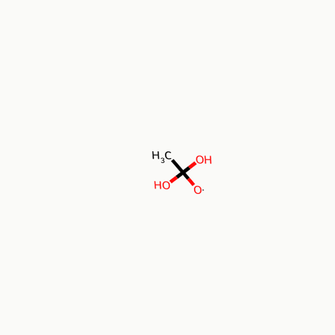 CC([O])(O)O